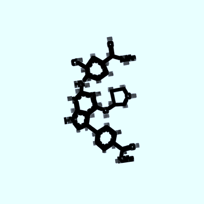 CNC(=O)c1ccc(-c2c[nH]c3nc(Nc4ccc(C(=O)NC)cc4Cl)nc(OC4CCOC4)c23)cc1